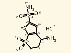 Cl.NC1CCS(=O)(=O)c2sc(S(N)(=O)=O)cc21